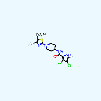 CCCCc1nc(N2CCC(NC(=O)c3[nH]c(C)c(Cl)c3Cl)CC2)sc1C(=O)O